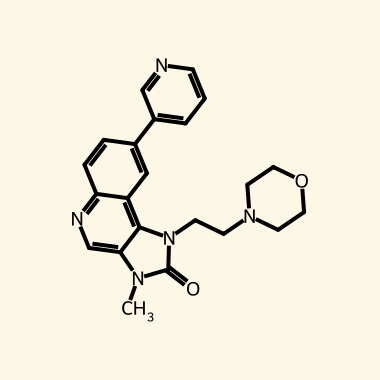 Cn1c(=O)n(CCN2CCOCC2)c2c3cc(-c4cccnc4)ccc3ncc21